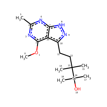 COc1nc(C)nc2[nH]nc(CCC(C)(C)[Si](C)(C)O)c12